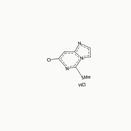 CSc1nc(Cl)cc2nccn12.Cl